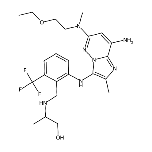 CCOCCN(C)c1cc(N)c2nc(C)c(Nc3cccc(C(F)(F)F)c3CNC(C)CO)n2n1